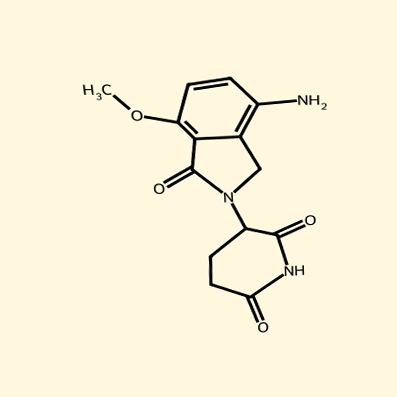 COc1ccc(N)c2c1C(=O)N(C1CCC(=O)NC1=O)C2